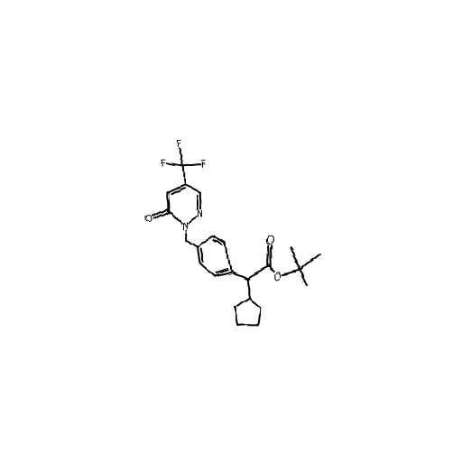 CC(C)(C)OC(=O)C(c1ccc(Cn2ncc(C(F)(F)F)cc2=O)cc1)C1CCCC1